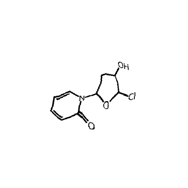 O=c1ccccn1C1CC(O)C(Cl)O1